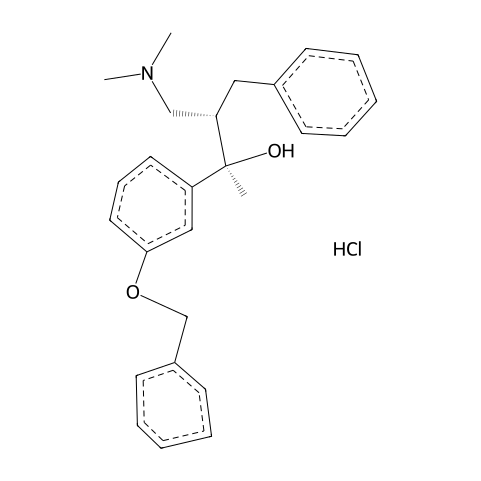 CN(C)C[C@H](Cc1ccccc1)[C@@](C)(O)c1cccc(OCc2ccccc2)c1.Cl